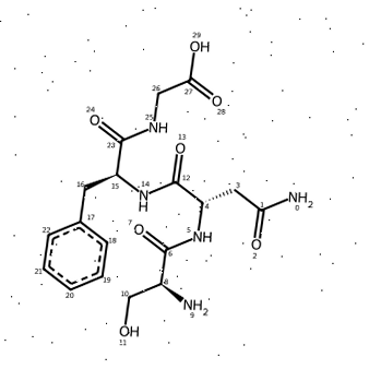 NC(=O)C[C@H](NC(=O)[C@@H](N)CO)C(=O)N[C@@H](Cc1ccccc1)C(=O)NCC(=O)O